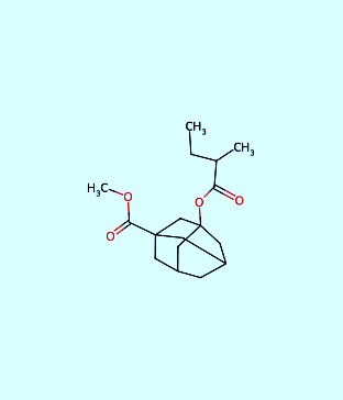 CCC(C)C(=O)OC12CC3CC(C1)CC(C(=O)OC)(C3)C2